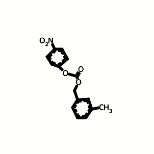 Cc1cccc(COC(=O)Oc2ccc([N+](=O)[O-])cc2)c1